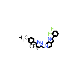 Cc1ccc(-c2ccc(Cn3ccc4cc(-c5cccc(F)c5F)nc-4c3)nn2)c(C(F)(F)F)c1